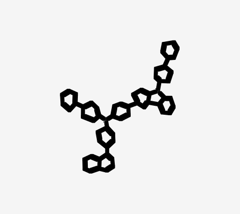 c1ccc(-c2ccc(N(c3ccc(-c4ccc5c(c4)c4ccccc4n5-c4ccc(-c5ccccc5)cc4)cc3)c3ccc(-c4cccc5ccccc45)cc3)cc2)cc1